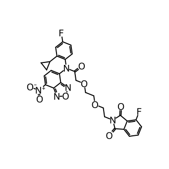 O=C1c2cccc(F)c2C(=O)N1CCOCCOCC(=O)N(c1ccc(F)cc1C1CC1)c1ccc([N+](=O)[O-])c2nonc12